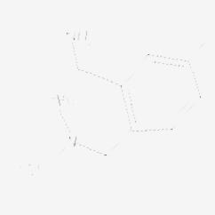 Cc1ccc(CN(C(=O)O)C(C)(C)C)c(CN)c1